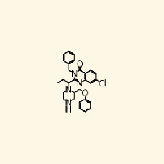 CCC(c1nc2cc(Cl)ccc2c(=O)n1Cc1ccccc1)N1CCNCC1COc1ccccc1